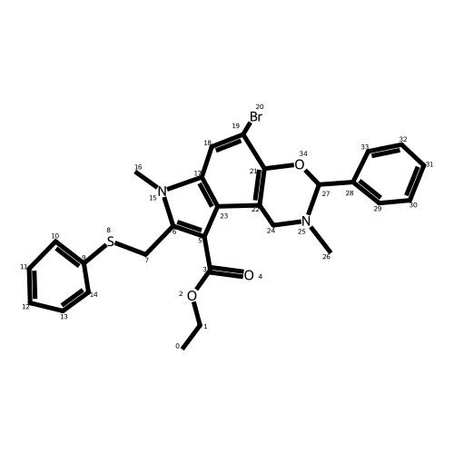 CCOC(=O)c1c(CSc2ccccc2)n(C)c2cc(Br)c3c(c12)CN(C)C(c1ccccc1)O3